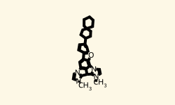 CN1C=CN2c3cc4c(oc5cc(C6CCC7(CCCCC7)CC6)ccc54)c4c3C(C12)C1N(C)C=CN41